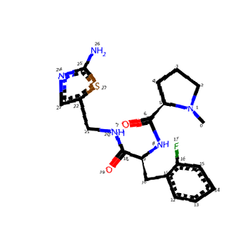 CN1CCC[C@@H]1C(=O)N[C@@H](Cc1ccccc1F)C(=O)NCc1cnc(N)s1